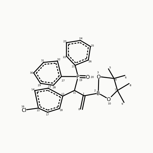 C=C(B1OC(C)(C)C(C)(C)O1)C(c1ccc(Cl)cc1)P(=O)(c1ccccc1)c1ccccc1